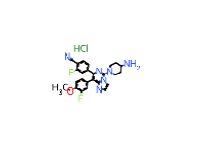 COc1ccc(-c2c(-c3ccc(C#N)c(F)c3)nc(N3CCC(N)CC3)n3ccnc23)cc1F.Cl